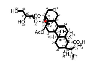 CC(=O)O[C@@H]1C[C@@]23COC[C@@](C)([C@@H]2CC[C@H]2C3=CC[C@@]3(C)[C@H](C(=O)O)[C@@](C)([C@H](C)C(C)C)CC[C@]23C)[C@H]1OC[C@@H](O)CO